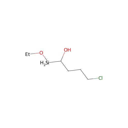 CCO[SiH2]C(O)CCCCl